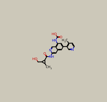 Cc1ccncc1-c1cc(NC(=O)O)c2cnc(NC(=O)C3C(C)C3CO)cc2c1